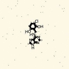 Oc1ccc(Cl)c(O)c1CNc1ncnc2[nH]cnc12